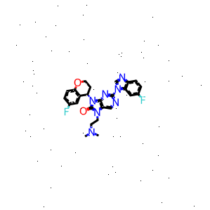 CN(C)CCn1c(=O)n([C@@H]2CCOc3ccc(F)cc32)c2nc(-n3cnc4ccc(F)cc43)ncc21